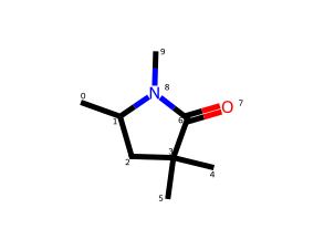 CC1CC(C)(C)C(=O)N1C